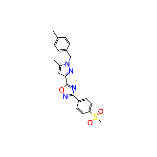 Cc1ccc(Cn2nc(-c3nc(-c4ccc(S(C)(=O)=O)cc4)no3)cc2C)cc1